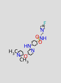 Cc1ccc(Oc2ccnc(Nc3ccc(S(=O)(=O)NCCN4CC[C@H](F)C4)cc3)c2)c(C)n1